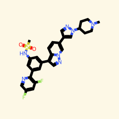 CN1CCC(n2cc(-c3ccc4c(-c5cc(NS(C)(=O)=O)cc(-c6ncc(F)cc6F)c5)cnn4c3)cn2)CC1